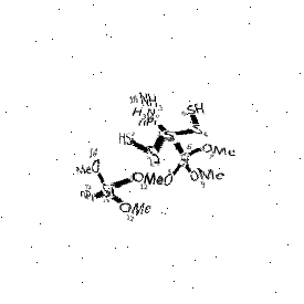 CCCS(SS)(SS)[Si](OC)(OC)OC.CCC[Si](OC)(OC)OC.N.N